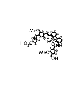 COc1cc(C(=O)Nc2cccc(-c3cccc(/C=C/c4cc(OC)c(CN5CC[C@@H](C(=O)O)C5)cc4C(F)(F)F)c3C)c2C)ncc1CO